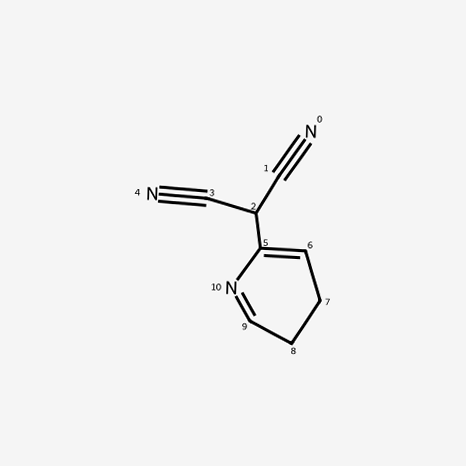 N#CC(C#N)C1=CCCC=N1